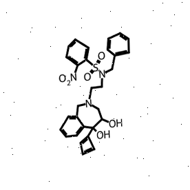 O=[N+]([O-])c1ccccc1S(=O)(=O)N(CCN1Cc2ccccc2C(O)(C2=CC=C2)C(O)C1)Cc1ccccc1